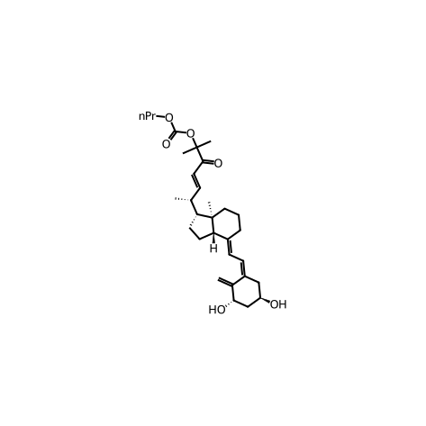 C=C1/C(=C\C=C2/CCC[C@]3(C)[C@@H]([C@H](C)/C=C/C(=O)C(C)(C)OC(=O)OCCC)CC[C@@H]23)C[C@@H](O)C[C@@H]1O